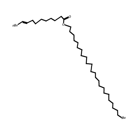 CCCCC=CCCCCCCCC(=O)OCCCCCCCCCCCCCCCCCCCCCCCCC(C)CC